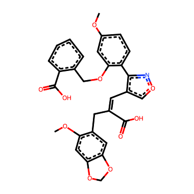 COc1ccc(-c2nocc2C=C(Cc2cc3c(cc2OC)OCO3)C(=O)O)c(OCc2ccccc2C(=O)O)c1